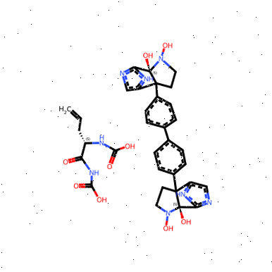 C=CC[C@H](NC(=O)O)C(=O)NC(=O)O.ON1CCC2(c3ccc(-c4ccc(C56CCN(O)[C@@]5(O)c5ncc6[nH]5)cc4)cc3)c3cnc([nH]3)[C@]12O